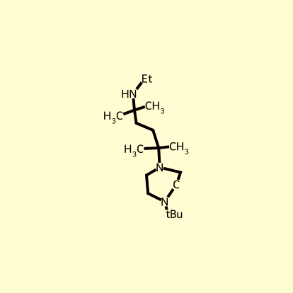 CCNC(C)(C)CCC(C)(C)N1CCN(C(C)(C)C)CC1